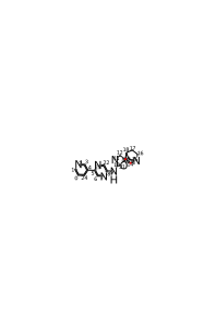 c1cncc(-c2cnc(NC3=NC[C@@]4(CN5CCC4CC5)O3)cn2)c1